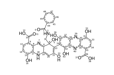 O=C(NCC1(O)C2=Nc3c(C(=O)O)ccc(O)c3NC2=CC(O)=C1c1c(O)cc2nc3c(O)ccc(C(=O)O)c3nc2c1O)c1ccccc1